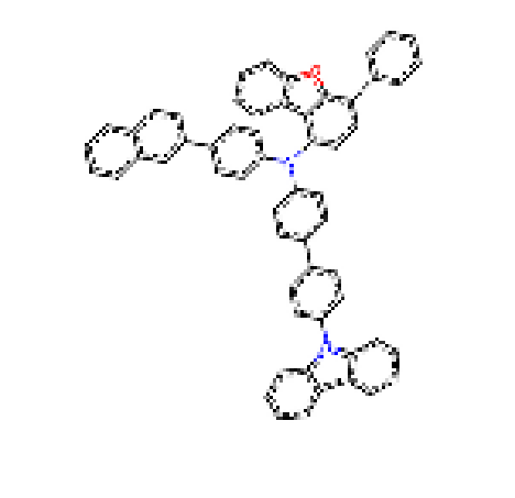 c1ccc(-c2ccc(N(c3ccc(-c4ccc(-n5c6ccccc6c6ccccc65)cc4)cc3)c3ccc(-c4ccc5ccccc5c4)cc3)c3c2oc2ccccc23)cc1